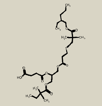 CCCC(CC)COC(=O)C(C)(C)CSCCC(=O)OCC(COC(=O)C(C)(C)CC)OC(=O)CCC(=O)O